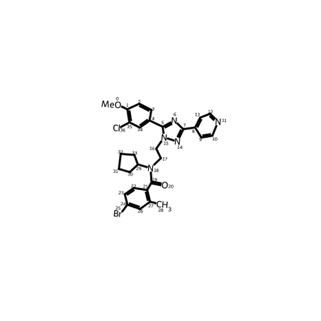 COc1ccc(-c2nc(-c3ccncc3)nn2CCN(C(=O)c2ccc(Br)cc2C)C2CCCC2)cc1Cl